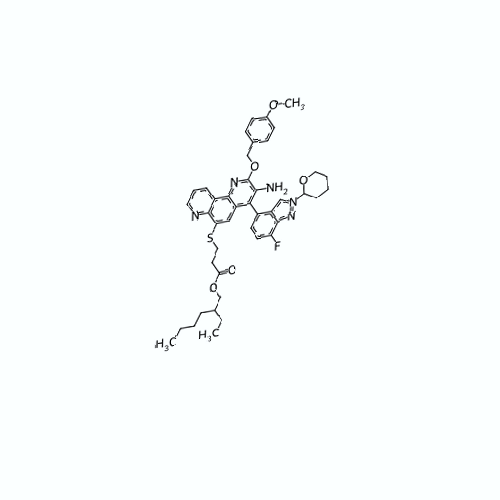 CCCCC(CC)COC(=O)CCSc1cc2c(-c3ccc(F)c4nn(C5CCCCO5)cc34)c(N)c(OCc3ccc(OC)cc3)nc2c2cccnc12